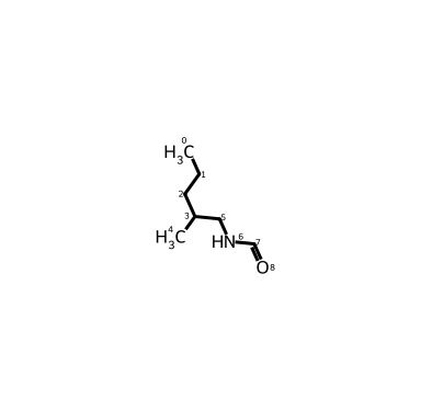 CCCC(C)CN[C]=O